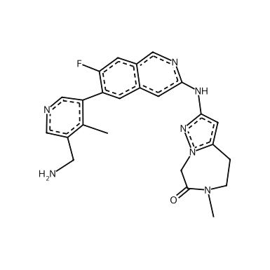 Cc1c(CN)cncc1-c1cc2cc(Nc3cc4n(n3)CC(=O)N(C)CC4)ncc2cc1F